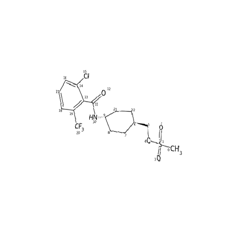 CS(=O)(=O)OC[C@H]1CC[C@H](NC(=O)c2c(Cl)cccc2C(F)(F)F)CC1